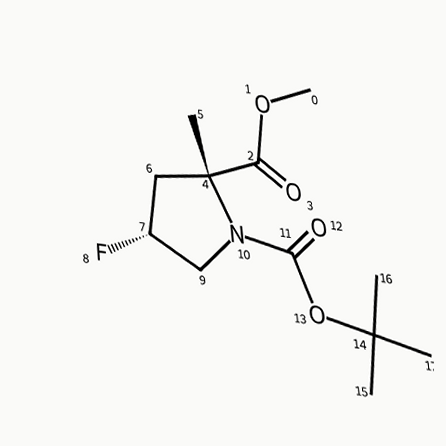 COC(=O)[C@@]1(C)C[C@@H](F)CN1C(=O)OC(C)(C)C